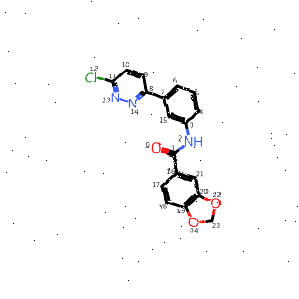 O=C(Nc1cccc(-c2ccc(Cl)nn2)c1)c1ccc2c(c1)OCO2